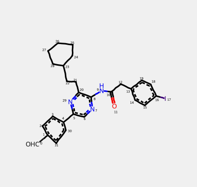 O=Cc1ccc(-c2cnc(NC(=O)Cc3ccc(I)cc3)c(CCC3CCCCC3)n2)cc1